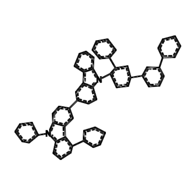 c1ccc(-c2cccc(-c3ccc(-n4c5ccccc5c5cc(-c6ccc7c(c6)c6c(-c8ccccc8)cccc6n7-c6ccccc6)ccc54)c(-c4ccccc4)c3)c2)cc1